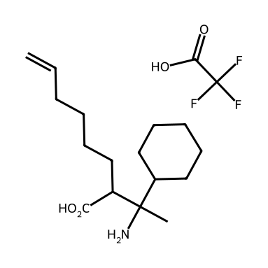 C=CCCCCC(C(=O)O)C(C)(N)C1CCCCC1.O=C(O)C(F)(F)F